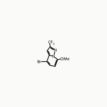 COc1ccc(Br)c2cc(C(F)(F)F)nn12